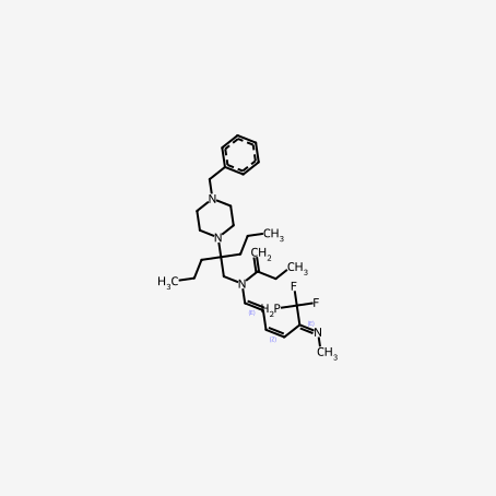 C=C(CC)N(/C=C/C=C\C(=N/C)C(F)(F)P)CC(CCC)(CCC)N1CCN(Cc2ccccc2)CC1